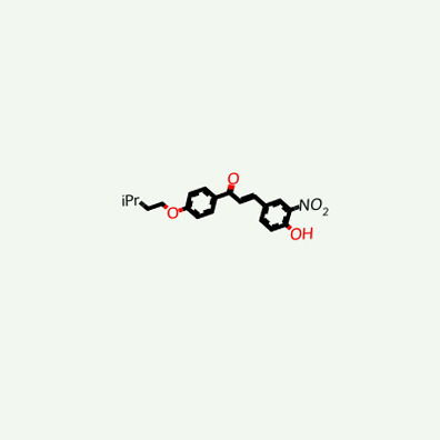 CC(C)CCOc1ccc(C(=O)C=Cc2ccc(O)c([N+](=O)[O-])c2)cc1